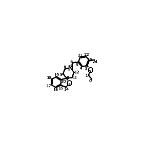 CCOc1cc(CN2CCC3(CC2)OCc2ccccc23)ccc1C